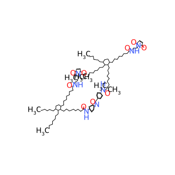 CCCCCCCCC1C(CCCCCC)CCC(CCCCCCCC(=O)NCCC(C)(C)N2C(=O)C=CC2=O)C1CCCCCCCC(=O)Nc1ccc2nc(-c3ccc(NC(=O)C(C)(C)CCCCCCCC4C(CCCCCCCC(=O)NCCN5C(=O)C=CC5=O)CCC(CCCCCC)C4CCCCCCCC)cc3)oc2c1